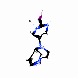 Ic1ncc(N2CCN3CCC2C3)cn1